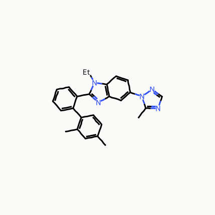 CCn1c(-c2ccccc2-c2ccc(C)cc2C)nc2cc(-n3ncnc3C)ccc21